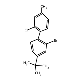 Cc1ccc(-c2ccc(C(C)(C)C)cc2Br)c(Cl)c1